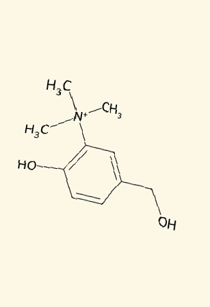 C[N+](C)(C)c1cc(CO)ccc1O